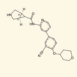 N#Cc1cc(-c2ccnc(NC(=O)C3[C@H]4CNC[C@@H]34)c2)ccc1OC1CCOCC1